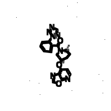 C[C@@H]1CC[C@@H](Oc2ccnc3ocnc23)CN1C(=O)c1ccccc1-n1ncnn1